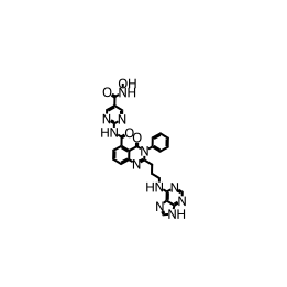 O=C(NO)c1cnc(NC(=O)c2cccc3nc(CCCNc4ncnc5[nH]cnc45)n(-c4ccccc4)c(=O)c23)nc1